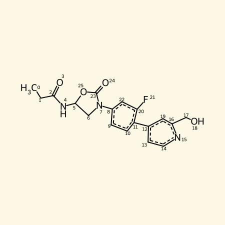 CCC(=O)NC1CN(c2ccc(-c3ccnc(CO)c3)c(F)c2)C(=O)O1